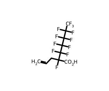 C=CCC(F)(C(=O)O)C(F)(F)C(F)(F)C(F)(F)C(F)(F)C(F)(F)F